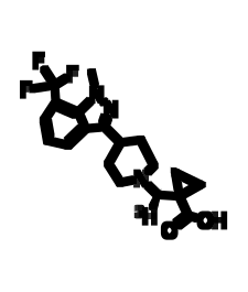 [3H][C@@H](N1CCC(c2nn(C)c3c(C(F)(F)F)cccc23)CC1)C1(C(=O)O)CC1